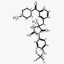 CN1CCN(C(=O)c2cc(CC3(C)NC(=O)N(c4ccc(OC(F)(F)F)cc4)C3=O)ccn2)CC1